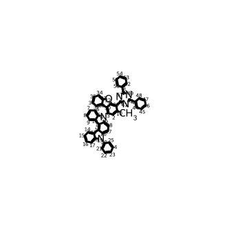 Cc1cc(-n2c3ccccc3c3c4c5ccccc5n(-c5ccccc5)c4ccc32)c2c(oc3ccccc32)c1-c1nc(-c2ccccc2)nc(-c2ccccc2)n1